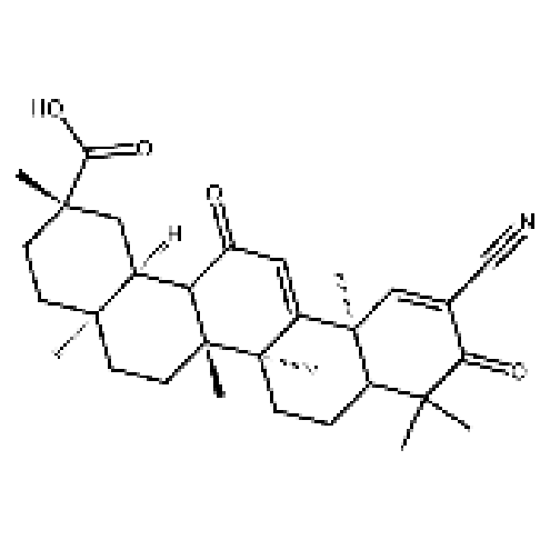 CC1(C)C(=O)C(C#N)=C[C@]2(C)C3=CC(=O)C4[C@@H]5C[C@@](C)(C(=O)O)CC[C@]5(C)CC[C@@]4(C)[C@]3(C)CCC12